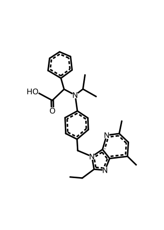 CCc1nc2c(C)cc(C)nc2n1Cc1ccc(N(C(C)C)C(C(=O)O)c2ccccc2)cc1